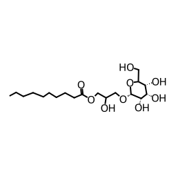 CCCCCCCCCC(=O)OCC(O)CO[C@@H]1OC(CO)[C@H](O)[C@H](O)[C@@H]1O